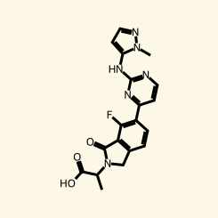 CC(C(=O)O)N1Cc2ccc(-c3ccnc(Nc4ccnn4C)n3)c(F)c2C1=O